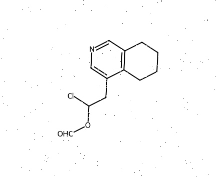 O=COC(Cl)Cc1cncc2c1CCCC2